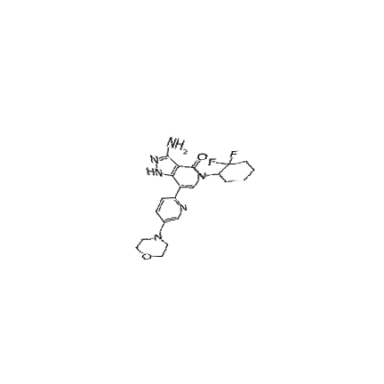 Nc1n[nH]c2c(-c3ccc(N4CCOCC4)cn3)cn(C3CCCCC3(F)F)c(=O)c12